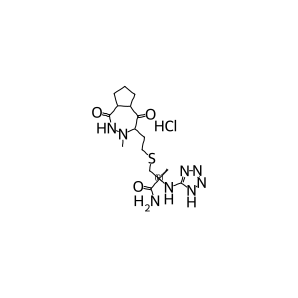 CN1NC(=O)C2CCCC2C(=O)C1CCSC[C@](C)(Nc1nnn[nH]1)C(N)=O.Cl